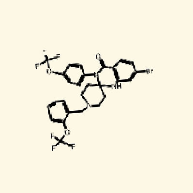 O=C1c2ccc(Br)cc2NC2(CCN(Cc3ccccc3OC(F)(F)F)CC2)N1c1ccc(OC(F)(F)F)cc1